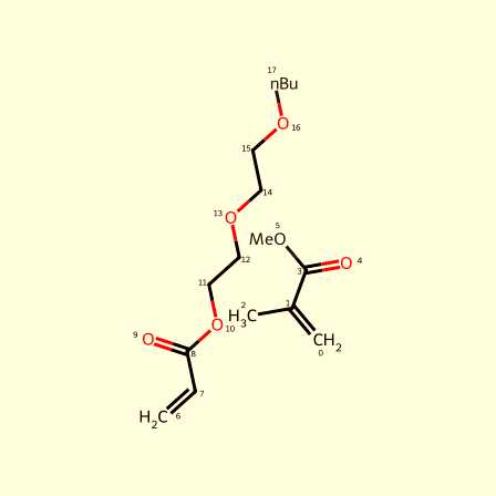 C=C(C)C(=O)OC.C=CC(=O)OCCOCCOCCCC